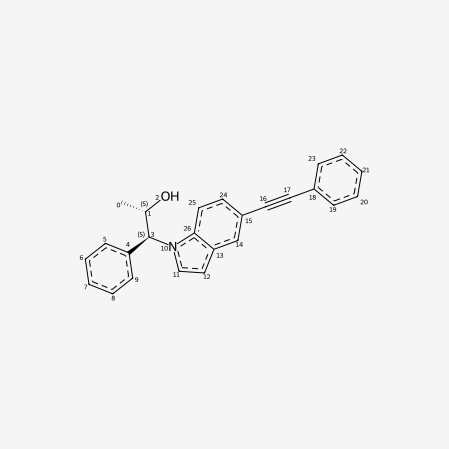 C[C@H](O)[C@H](c1ccccc1)n1ccc2cc(C#Cc3ccccc3)ccc21